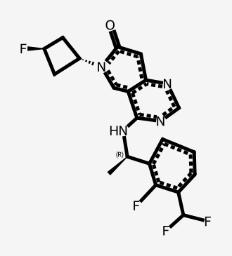 C[C@@H](Nc1ncnc2cc(=O)n([C@H]3C[C@H](F)C3)cc12)c1cccc(C(F)F)c1F